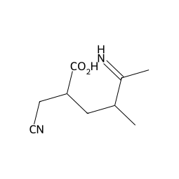 CC(=N)C(C)CC(CC#N)C(=O)O